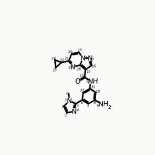 Cn1ccnc1-c1cc(N)cc(NC(=O)c2cnn3ccc(C4CC4)nc23)c1